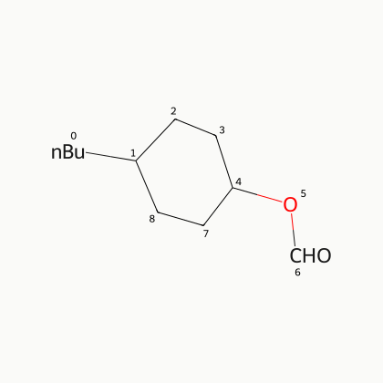 CCCCC1CCC(OC=O)CC1